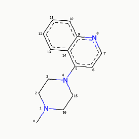 CN1CCN(c2ccnc3ccccc23)CC1